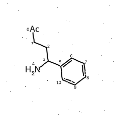 CC(=O)CCC(N)c1ccccc1